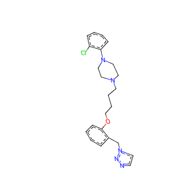 Clc1ccccc1N1CCN(CCCCOc2ccccc2Cn2ccnn2)CC1